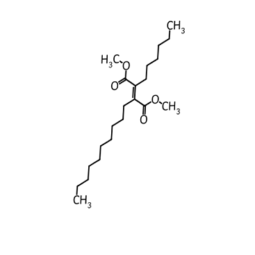 CCCCCCCCCCC(C(=O)OC)=C(CCCCCC)C(=O)OC